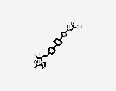 CC(O)c1nccn1C(/C=C/c1ccc(-c2ccc(C3CC(NCC(=O)O)C3)cc2)cc1)CO